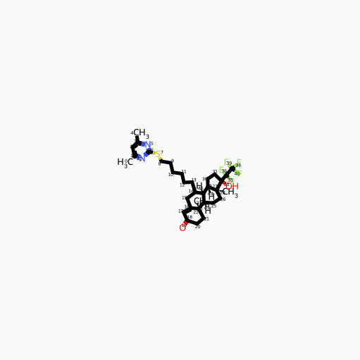 Cc1cc(C)nc(SCCCCCCC2CC3=CC(=O)CC[C@]3(C)[C@@H]3CC[C@@]4(C)[C@@H](CCC4(O)C(F)(F)C(F)(F)F)[C@H]23)n1